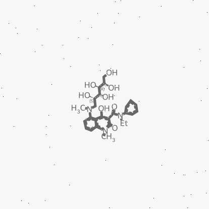 CCN(C(=O)c1c(O)c2c(N(C)C[C@H](O)[C@@H](O)[C@H](O)[C@H](O)CO)cccc2n(C)c1=O)c1ccccc1